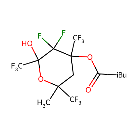 CCC(C)C(=O)OC1(C(F)(F)F)CC(C)(C(F)(F)F)OC(O)(C(F)(F)F)C1(F)F